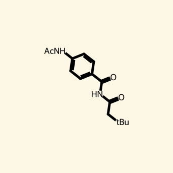 CC(=O)Nc1ccc(C(=O)NC(=O)CC(C)(C)C)cc1